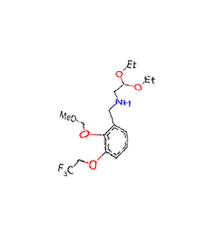 CCOC(CNCc1cccc(OCC(F)(F)F)c1OCOC)OCC